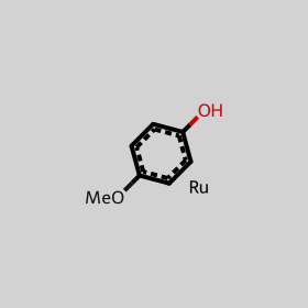 COc1ccc(O)cc1.[Ru]